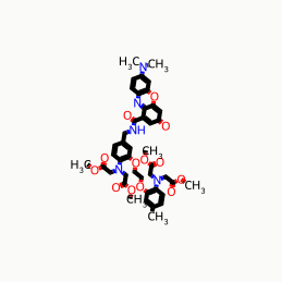 COC(=O)CN(CC(=O)OC)c1ccc(C)cc1OCCOc1cc(CNC(=O)c2cc(=O)cc3oc4cc(N(C)C)ccc4nc2-3)ccc1N(CC(=O)OC)CC(=O)OC